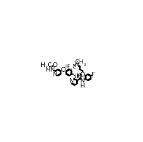 CC(=O)Nc1cc(Oc2ccc(Nc3ncccc3C(=O)Nc3ccc(F)cc3OCCCN(C)C)cc2F)ccn1